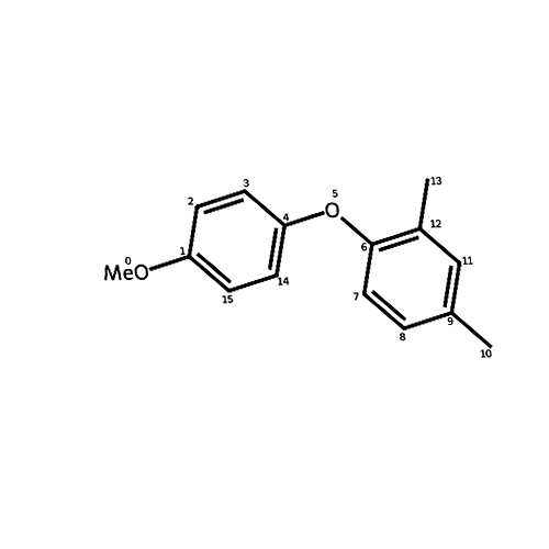 COc1ccc(Oc2ccc(C)cc2C)cc1